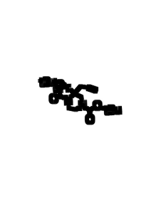 C#CCC1(CCC)CN(C(=O)OC(C)(C)C)CCN1C(=O)OC(C)(C)C